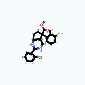 COC(=O)C1(c2cccc(F)c2C)CCc2nc(-c3ccccc3Cl)ncc21